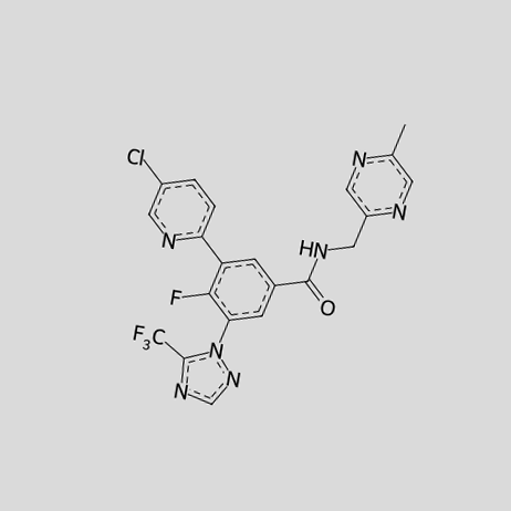 Cc1cnc(CNC(=O)c2cc(-c3ccc(Cl)cn3)c(F)c(-n3ncnc3C(F)(F)F)c2)cn1